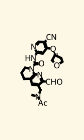 CC(=O)N(C)Cc1cc2c(nc1C=O)N(C(=O)Nc1cc(O[C@H]3CCOC3)c(C#N)cn1)CCC2